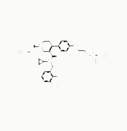 CC(C)(C)OC(=O)N1CCC(c2ccc(OCCO[Si](C)(C)C(C)(C)C)cc2)=C(C(=O)N(Cc2cccc(C(F)(F)F)c2Cl)C2CC2)C1